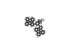 CCc1nc2c(-c3ccc4c(c3)C3(c5ccccc5-c5ccccc53)c3ccccc3-4)cc(-c3ccc4c(c3)C3(c5ccccc5-c5ccccc53)c3ccccc3-4)cc2o1